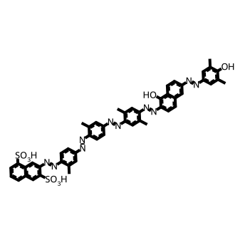 Cc1cc(N=Nc2cc(C)c(N=Nc3ccc4cc(N=Nc5cc(C)c(O)c(C)c5)ccc4c3O)cc2C)ccc1N=Nc1ccc(N=Nc2cc3c(S(=O)(=O)O)cccc3cc2S(=O)(=O)O)c(C)c1